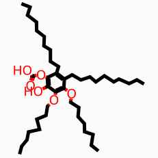 CCCCCCCCCCc1c(CCCCCCCCCC)c(OCCCCCCCC)c(OCCCCCCCC)c(O)c1OC(=O)O